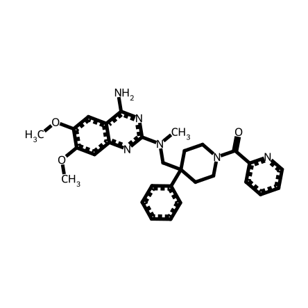 COc1cc2nc(N(C)CC3(c4ccccc4)CCN(C(=O)c4ccccn4)CC3)nc(N)c2cc1OC